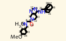 COc1ccc(CN(C)CC(=O)N2CCc3c(ncnc3NCC3C4CC5CC(C4)CC3C5)C2)cc1